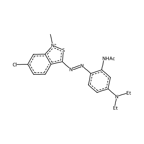 CCN(CC)c1ccc(N=Nc2s[n+](C)c3cc(Cl)ccc23)c(NC(C)=O)c1